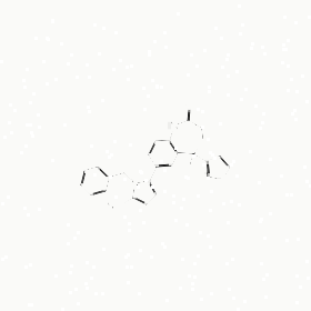 CC1(c2ccsc2)OCC(=O)Nc2ccc(-c3ccc(C#N)n3Cc3ccccc3)cc21